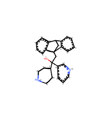 OC(CC12CC(c3ccccc31)c1ccccc12)(c1cccnc1)C1CCNCC1